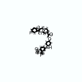 O=C(CO[C@H]1CC[C@H](Nc2ccc([N+](=O)[O-])c(C(F)(F)F)c2)CC1)N1CCN(Cc2oc3ccc(F)cc3c2Cl)CC1